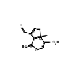 O=C(O)C1=CO[C@@H](O)C2C(CO)=CC[C@H]12